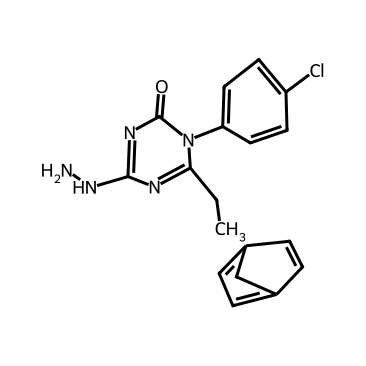 C1=CC2=CC=C1C2.CCc1nc(NN)nc(=O)n1-c1ccc(Cl)cc1